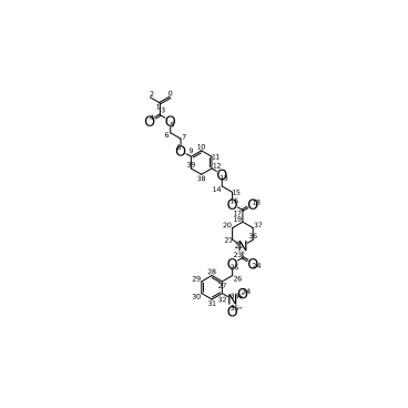 C=C(C)C(=O)OCCOC1=CC=C(OCCOC(=O)C2CCN(C(=O)OCc3ccccc3[N+](=O)[O-])CC2)CC1